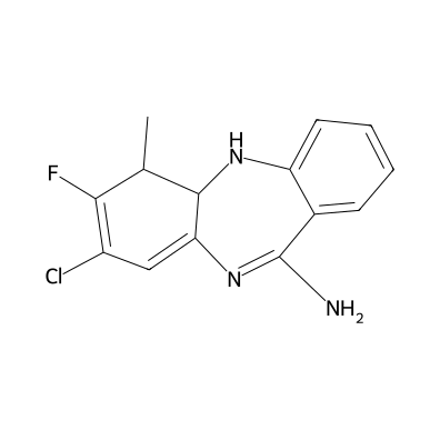 CC1C(F)=C(Cl)C=C2N=C(N)c3ccccc3NC21